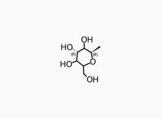 C[C@H]1OC(CO)C(O)[C@H](O)C1O